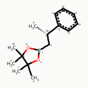 C[C@@H](CB1OC(C)(C)C(C)(C)O1)c1ccccc1